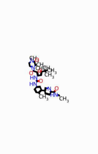 CCNC(=O)c1ccc(-c2cc(NC(=O)Nc3cc(C(C)(C)C)oc3C(=O)N3CCN(C)C(=O)C3(C)C)ccc2C)cn1